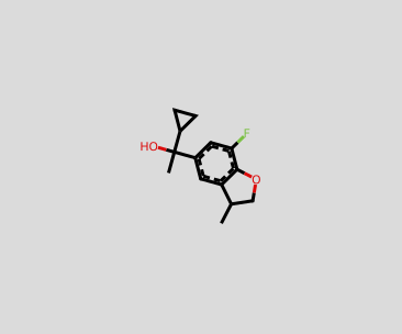 CC1COc2c(F)cc(C(C)(O)C3CC3)cc21